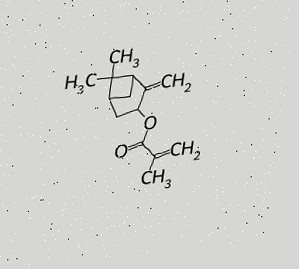 C=C(C)C(=O)OC1CC2CC(C1=C)C2(C)C